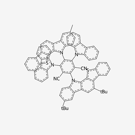 Cc1ccc2c(c1)c1ccc3c4ccccc4sc3c1n2-c1c(-n2c3ccccc3c3ccccc32)c(C#N)c(-n2c3ccc(C(C)(C)C)cc3c3cc(C(C)(C)C)c4c5ccccc5sc4c32)c(C#N)c1-n1c2ccccc2c2ccccc21